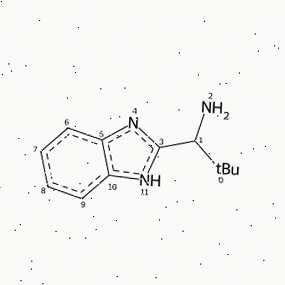 CC(C)(C)C(N)c1nc2ccccc2[nH]1